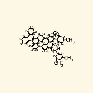 Cc1cc(C)cc(-c2nc(-c3cc(C)cc(C)c3)nc(-c3ccccc3-c3ccc(C#N)cc3-c3cccc(-c4ccccc4-c4cc5ccccc5c5ccccc45)c3)n2)c1